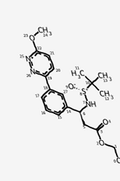 CCOC(=O)C[C@H](N[S@+]([O-])C(C)(C)C)c1cccc(-c2ccc(OC)nn2)c1